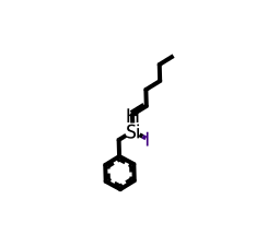 CCCCC=C[SiH](I)Cc1ccccc1